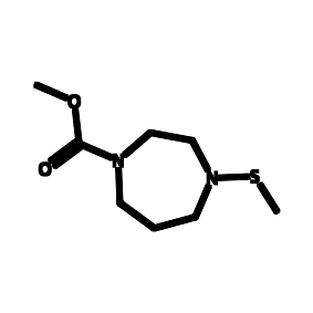 COC(=O)N1CCCN(SC)CC1